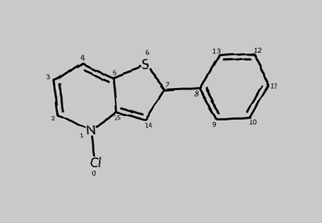 ClN1C=CC=C2SC(c3ccccc3)C=C21